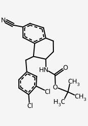 CC(C)(C)OC(=O)NC1CCc2ccc(C#N)cc2C1Cc1ccc(Cl)c(Cl)c1